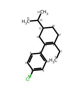 CCC1=C(c2ccc(Cl)cc2)CC(C(C)C)CC1